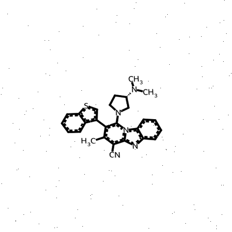 Cc1c(-c2csc3ccccc23)c(N2CC[C@H](N(C)C)C2)n2c(nc3ccccc32)c1C#N